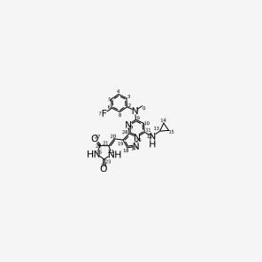 CN(c1cccc(F)c1)c1cc(NC2CC2)n2ncc(/C=C3\NC(=O)NC3=O)c2n1